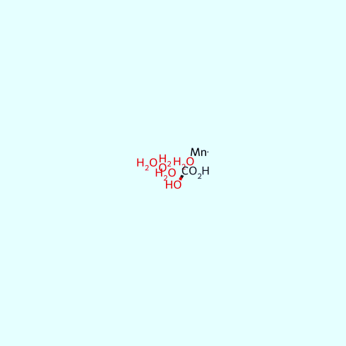 O.O.O.O.O=C(O)O.[Mn]